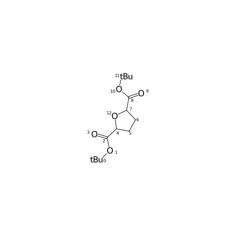 CC(C)(C)OC(=O)C1CCC(C(=O)OC(C)(C)C)O1